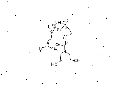 CC(C)=CC[C@H]1O[C@]1(C)[C@H]1C[C@H](OC(=O)N(CCO)CCO)CC[C@]12CO2